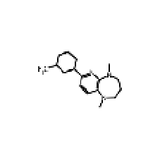 CN1CCCN(C)c2nc(C3CCCC(C(F)(F)F)C3)ccc21